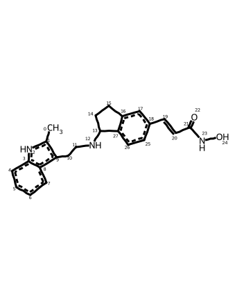 Cc1[nH]c2ccccc2c1CCNC1CCc2cc(/C=C/C(=O)NO)ccc21